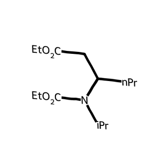 CCCC(CC(=O)OCC)N(C(=O)OCC)C(C)C